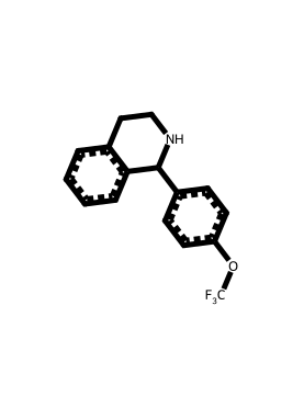 FC(F)(F)Oc1ccc(C2NCCc3ccccc32)cc1